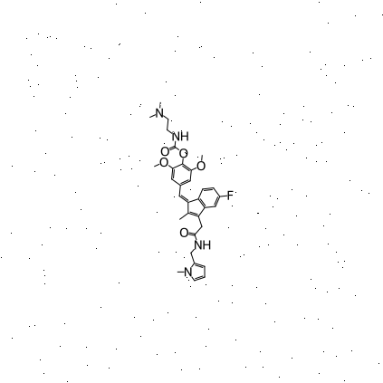 COc1cc(/C=C2/C(C)=C(CC(=O)NCc3cccn3C)c3cc(F)ccc32)cc(OC)c1OC(=O)NCCN(C)C